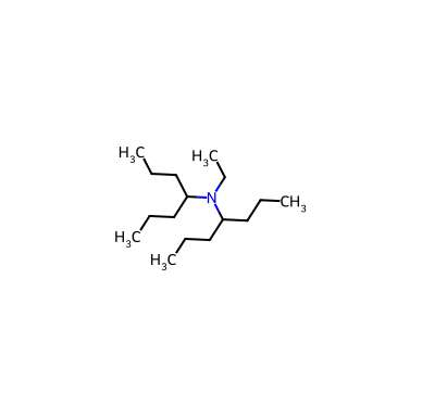 CCCC(CCC)N(CC)C(CCC)CCC